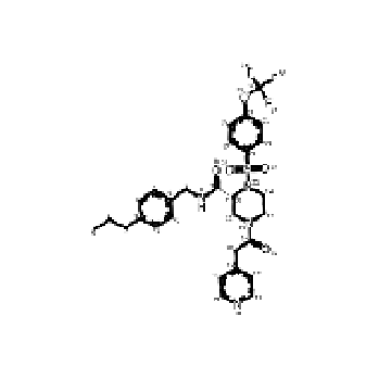 CCCc1ccc(CNC(=O)[C@H]2CN(C(=O)Cc3ccncc3)CCN2S(=O)(=O)c2ccc(OC(F)(F)F)cc2)cc1